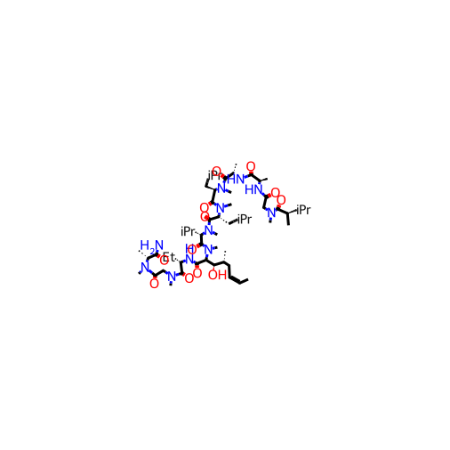 C/C=C\C[C@@H](C)[C@H](O)C(C(=O)N[C@@H](CC)C(=O)N(C)CC(=O)N(C)[C@H](C)C(N)=O)N(C)C(=O)[C@H](C(C)C)N(C)C(=O)[C@@H](CC(C)C)N(C)C(=O)[C@@H](CC(C)C)N(C)C(=O)[C@H](C)NC(=O)[C@@H](C)NC(=O)CN(C)C(=O)[C@H](C)C(C)C